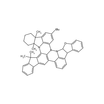 CC(C)(C)c1cc2c3c(c1)C1(C)CCCCC1(C)N3c1c3c(cc4c1C(C)(C)c1ccccc1-4)-c1cccc4c1N(B23)C1Oc2ccccc2C41